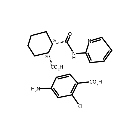 Nc1ccc(C(=O)O)c(Cl)c1.O=C(Nc1ccccn1)[C@H]1CCCC[C@H]1C(=O)O